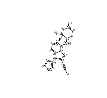 CC#Cc1sc2c(NC3CCN(C)CC3(F)F)cccc2c1-c1cscn1